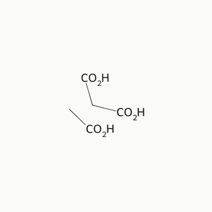 CC(=O)O.O=C(O)CC(=O)O